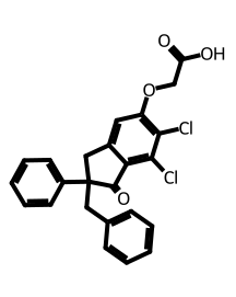 O=C(O)COc1cc2c(c(Cl)c1Cl)C(=O)C(Cc1ccccc1)(c1ccccc1)C2